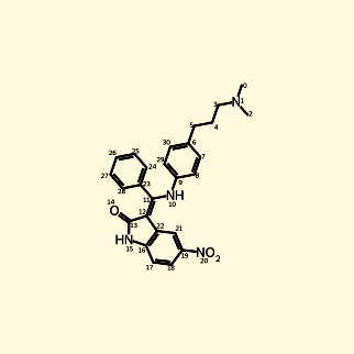 CN(C)CCCc1ccc(NC(=C2C(=O)Nc3ccc([N+](=O)[O-])cc32)c2ccccc2)cc1